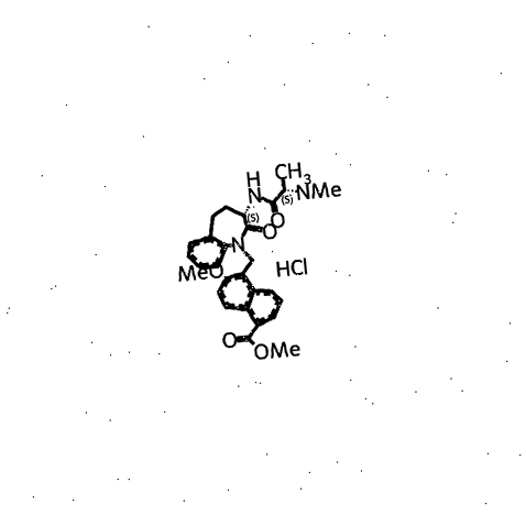 CN[C@@H](C)C(=O)N[C@H]1CCc2ccccc2N(Cc2c(OC)ccc3c(C(=O)OC)cccc23)C1=O.Cl